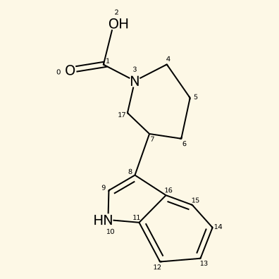 O=C(O)N1CCCC(c2c[nH]c3ccccc23)C1